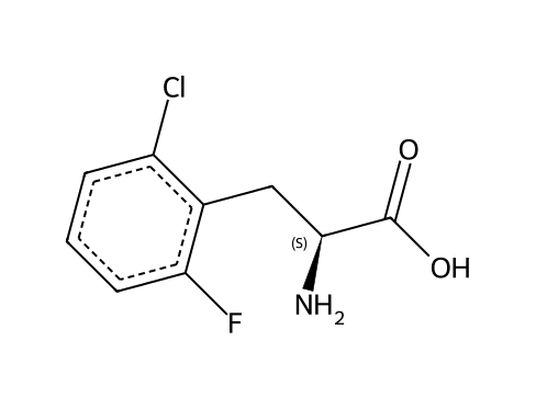 N[C@@H](Cc1c(F)cccc1Cl)C(=O)O